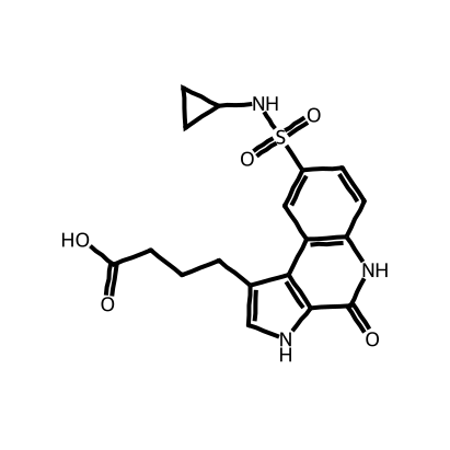 O=C(O)CCCc1c[nH]c2c(=O)[nH]c3ccc(S(=O)(=O)NC4CC4)cc3c12